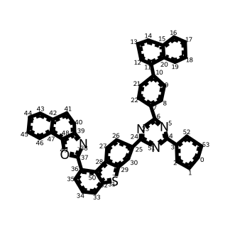 c1ccc(-c2nc(-c3ccc(-c4cccc5ccccc45)cc3)nc(-c3ccc4c(c3)sc3cccc(-c5nc6ccc7ccccc7c6o5)c34)n2)cc1